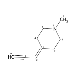 C#CC=C1CCN(C)CC1